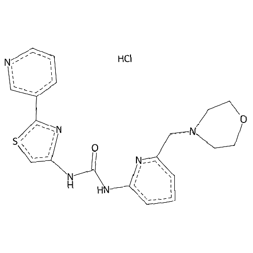 Cl.O=C(Nc1cccc(CN2CCOCC2)n1)Nc1csc(-c2cccnc2)n1